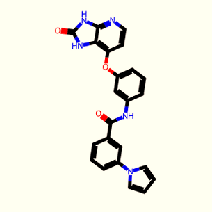 O=C(Nc1cccc(Oc2ccnc3[nH]c(=O)[nH]c23)c1)c1cccc(-n2cccc2)c1